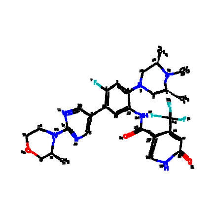 C[C@@H]1CN(c2cc(F)c(-c3cnc(N4CCOC[C@@H]4C)nc3)cc2NC(=O)c2c[nH]c(=O)cc2C(F)(F)F)C[C@H](C)N1C